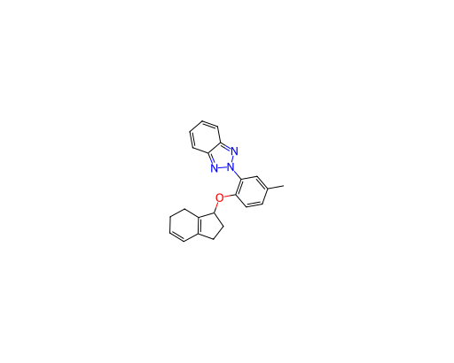 Cc1ccc(OC2CCC3=C2CCC=C3)c(-n2nc3ccccc3n2)c1